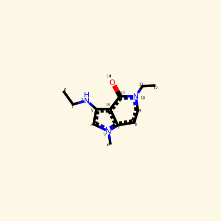 CCNc1cn(C)c2ccn(CC)c(=O)c12